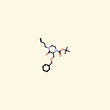 C=CCCN1CCN(C(=O)OC(C)(C)C)C(COCc2ccccc2)C1=O